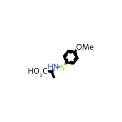 COc1ccc(SNC(C)C(=O)O)cc1